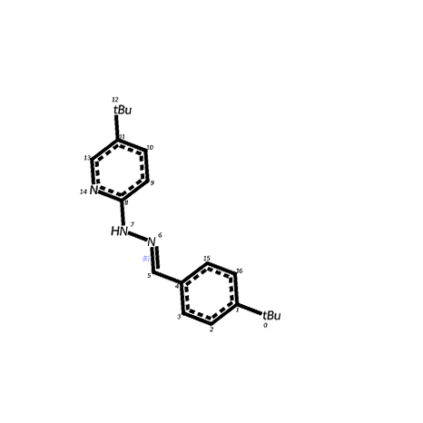 CC(C)(C)c1ccc(/C=N/Nc2ccc(C(C)(C)C)cn2)cc1